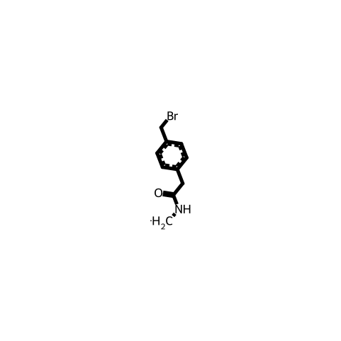 [CH2]NC(=O)Cc1ccc(CBr)cc1